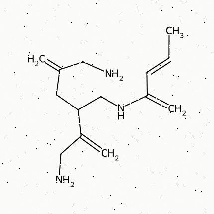 C=C(CN)CC(CNC(=C)C=CC)C(=C)CN